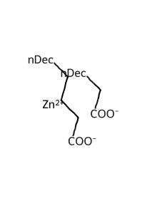 CCCCCCCCCCCC(=O)[O-].CCCCCCCCCCCCCC(=O)[O-].[Zn+2]